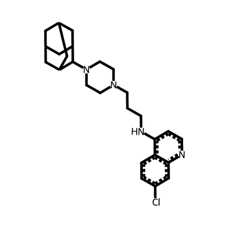 Clc1ccc2c(NCCCN3CCN(C4C5CC6CC(C5)CC4C6)CC3)ccnc2c1